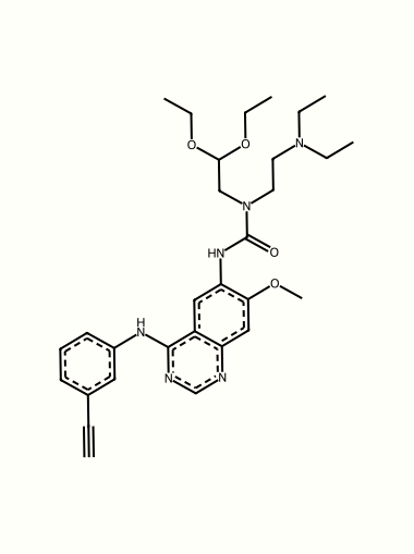 C#Cc1cccc(Nc2ncnc3cc(OC)c(NC(=O)N(CCN(CC)CC)CC(OCC)OCC)cc23)c1